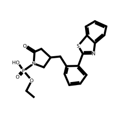 CCOP(=O)(O)N1CC(Cc2ccccc2-c2nc3ccccc3s2)CC1=O